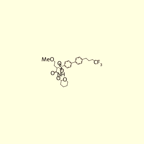 COCCC(C(=O)NOC1CCCCO1)S(=O)(=O)c1ccc(-c2ccc(CCCC(F)(F)F)cc2)cc1